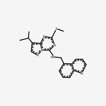 CSc1nc(NCc2cccc3ncccc23)n2ncc(C(C)C)c2n1